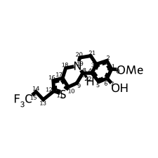 COc1cc2c(cc1O)[C@@H]1Cc3sc(CCC(F)(F)F)cc3CN1CC2